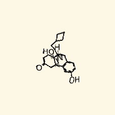 O=C1CC[C@@]2(O)[C@H]3Cc4ccc(O)cc4[C@@]2(CCN3CC2CCC2)C1